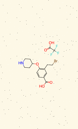 O=C(O)C(F)(F)F.O=C(O)c1ccc(OC2CCNCC2)c(CCBr)c1